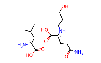 CC(C)C[C@H](N)C(=O)O.NC(=O)CC[C@H](NCCCO)C(=O)O